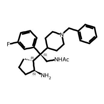 CC(=O)NC[C@@](c1cccc(F)c1)(C1CCN(Cc2ccccc2)CC1)[C@H]1CCC[C@@H]1N